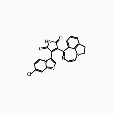 O=C1NC(=O)C(c2cnc3cc(Cl)ccn23)=C1C1=NC=CN2CCc3cccc1c32